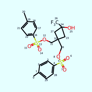 Cc1ccc(S(=O)(=O)OCC2(COS(=O)(=O)c3ccc(C)cc3)CC(O)(C(F)(F)F)C2)cc1